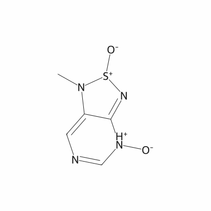 CN1C2=CN=C[NH+]([O-])C2=N[S+]1[O-]